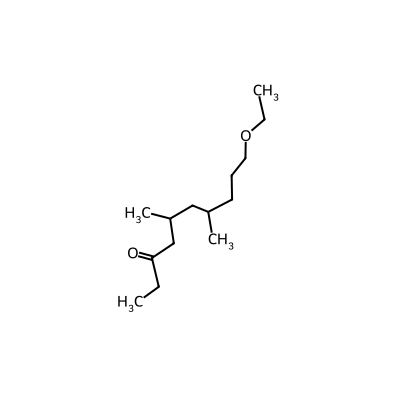 CCOCCCC(C)CC(C)CC(=O)CC